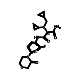 NC(=O)[C@@H](C(=O)Nc1ccc(N2CCOCC2=O)cc1F)N(CC1CC1)C1CC1